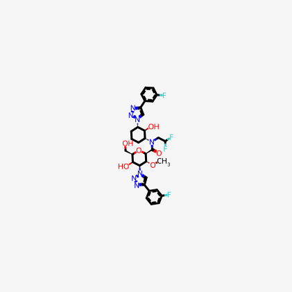 CO[C@@H]1[C@@H](n2cc(-c3cccc(F)c3)nn2)[C@@H](O)[C@@H](CO)O[C@H]1C(=O)N(CC(F)F)[C@@H]1CCC[C@H](n2cc(-c3cccc(F)c3)nn2)[C@H]1O